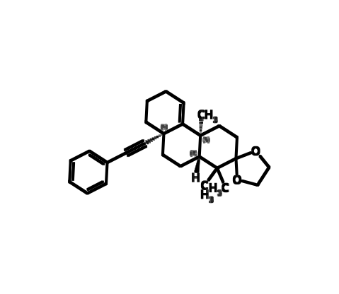 CC1(C)[C@@H]2CC[C@@]3(C#Cc4ccccc4)CCCC=C3[C@@]2(C)CCC12OCCO2